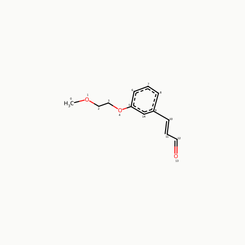 COCCOc1cccc(/C=C/C=O)c1